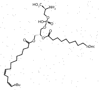 CCCC/C=C\C/C=C\CCCCCCCC(=O)OC[C@H](COP(=O)(O)OC[C@H](N)C(=O)O)OC(=O)CCCCCCCCCCCCCCCCCC